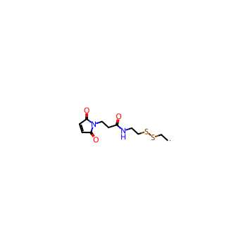 [CH2]CSSCCNC(=O)CCN1C(=O)C=CC1=O